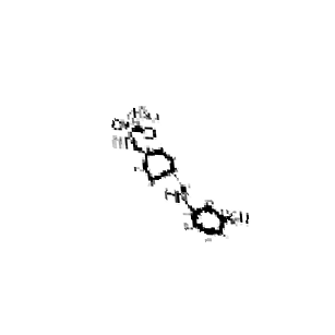 CC(C)(C)S(=O)(=O)N[C@H]1CC[C@H](CNc2cccc(S)c2)CC1